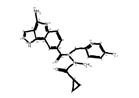 CN(C(=O)C1CC1)N(Cc1ccc(C(F)(F)F)cn1)C(=O)c1ccc2nc(N)c3cn[nH]c3c2c1